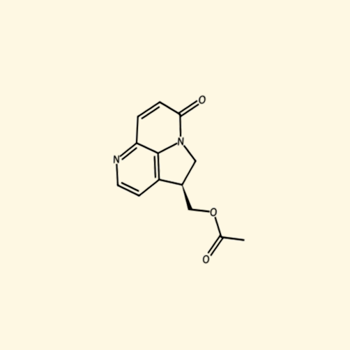 CC(=O)OC[C@@H]1Cn2c(=O)ccc3nccc1c32